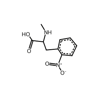 CNC(Cc1ccccc1[N+](=O)[O-])C(=O)O